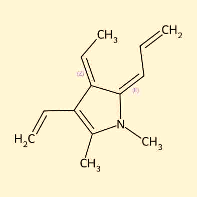 C=C/C=c1\c(=C/C)c(C=C)c(C)n1C